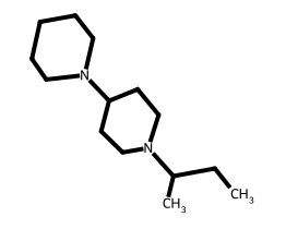 CCC(C)N1CCC(N2CCCCC2)CC1